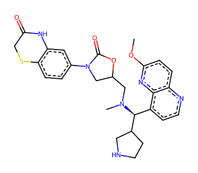 COc1ccc2nccc([C@@H](C3CCNC3)N(C)CC3CN(c4ccc5c(c4)NC(=O)CS5)C(=O)O3)c2n1